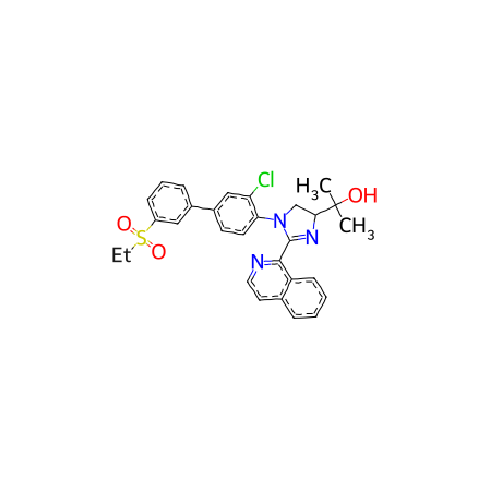 CCS(=O)(=O)c1cccc(-c2ccc(N3CC(C(C)(C)O)N=C3c3nccc4ccccc34)c(Cl)c2)c1